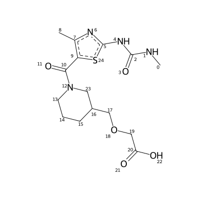 CNC(=O)Nc1nc(C)c(C(=O)N2CCCC(COCC(=O)O)C2)s1